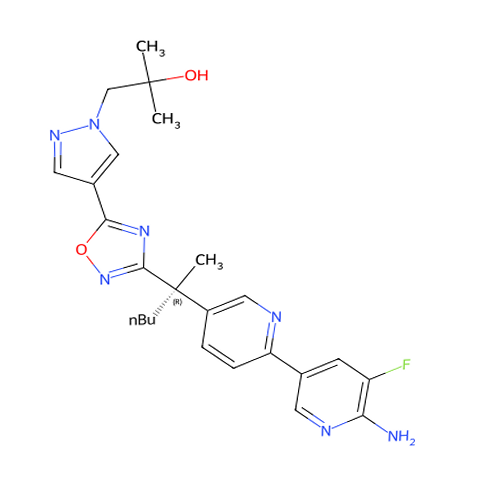 CCCC[C@](C)(c1ccc(-c2cnc(N)c(F)c2)nc1)c1noc(-c2cnn(CC(C)(C)O)c2)n1